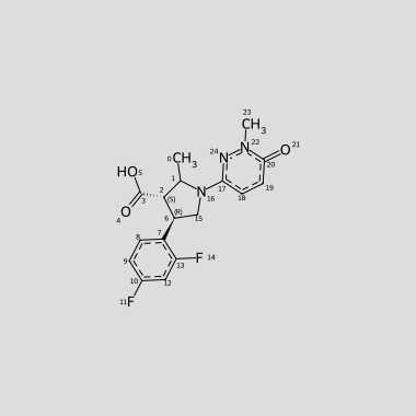 CC1[C@@H](C(=O)O)[C@H](c2ccc(F)cc2F)CN1c1ccc(=O)n(C)n1